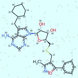 Cc1noc(-c2ccccc2)c1CSC[C@H]1O[C@@H](n2cc(CC3CCCCC3)c3c(N)ncnc32)[C@H](O)[C@@H]1O